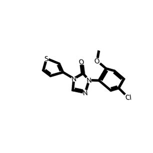 COc1ccc(Cl)cc1-n1ncn(-c2ccsc2)c1=O